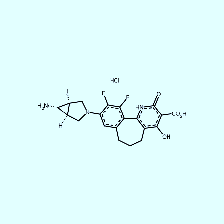 Cl.N[C@@H]1[C@H]2CN(c3cc4c(c(F)c3F)-c3[nH]c(=O)c(C(=O)O)c(O)c3CCC4)C[C@@H]12